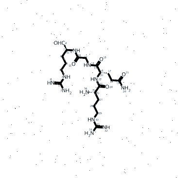 N=C(N)NCCC[C@@H]([C]=O)NC(=O)CNC(=O)[C@H](CCC(N)=O)NC(=O)[C@@H](N)CCCNC(=N)N